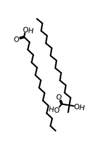 CCCCCCCCCCCCCCC(C)(O)C(=O)O.CCCCCCCCCCCCCCCC(=O)O